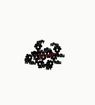 CCCCN(c1nc(NCCN(CCNc2nc(N(CCCC)C3CC(C)(C)N(OCCC)C(C)(C)C3)nc(N(CCCC)C3CC(C)(C)N(OCCC)C(C)(C)C3)n2)CCNc2nc(N(CCCC)C3CC(C)(C)N(OCCC)C(C)(C)C3)nc(N(CCCC)C3CC(C)(C)N(OCCC)C(C)(C)C3)n2)nc(N(CCCC)C2CC(C)(C)N(OCCC)C(C)(C)C2)n1)C1CC(C)(C)N(OCCC)C(C)(C)C1